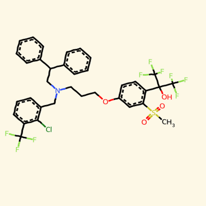 CS(=O)(=O)c1cc(OCCCN(Cc2cccc(C(F)(F)F)c2Cl)CC(c2ccccc2)c2ccccc2)ccc1C(O)(C(F)(F)F)C(F)(F)F